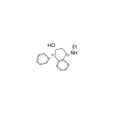 CCN[C@H]1CC[C@@H](c2ccccc2)c2ccccc21.Cl